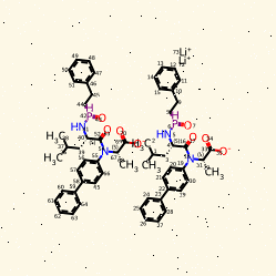 CC(C)C[C@H](N[PH](=O)CCc1ccccc1)C(=O)N(c1ccc(-c2ccccc2)cc1)[C@@H](C)C(=O)[O-].CC(C)C[C@H](N[PH](=O)CCc1ccccc1)C(=O)N(c1ccc(-c2ccccc2)cc1)[C@@H](C)C(=O)[O-].[Li+].[Li+]